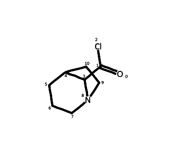 O=C(Cl)C1C2CCCN1CC2